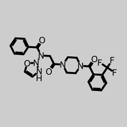 O=C(CN(C(=O)c1ccccc1)N1NC=CO1)N1CCN(C(=O)c2ccccc2C(F)(F)F)CC1